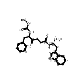 CC(C)(C)OC(=O)NC(Cc1ccccc1)C(=O)CCC(=O)N[C@@H](Cc1c[nH]c2ccccc12)C(=O)O